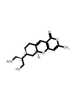 CC(=O)OC[C@H](CO)[C@H]1CCC2=Cc3c(cc(C)oc3=O)O[C@H]2C1